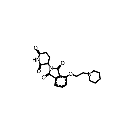 O=C1CCC(N2C(=O)c3cccc(OCCN4CCCCC4)c3C2=O)C(=O)N1